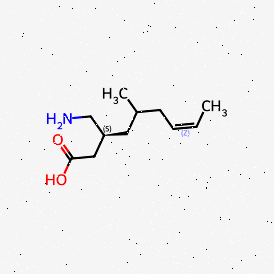 C/C=C\CC(C)C[C@H](CN)CC(=O)O